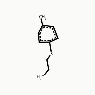 CC[CH]Sc1ccc(C)cc1